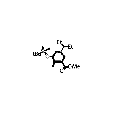 CCC(CC)[C@H]1CC(C(=O)OC)=C(C)[C@@H](O[Si](C)(C)C(C)(C)C)C1